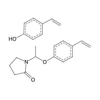 C=Cc1ccc(O)cc1.C=Cc1ccc(OC(C)N2CCCC2=O)cc1